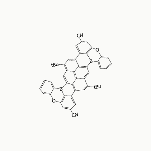 CC(C)(C)c1cc2c3c(cc4c(C(C)(C)C)cc5c6c(cc1c3c46)B1c3ccccc3Oc3cc(C#N)cc-5c31)B1c3ccccc3Oc3cc(C#N)cc-2c31